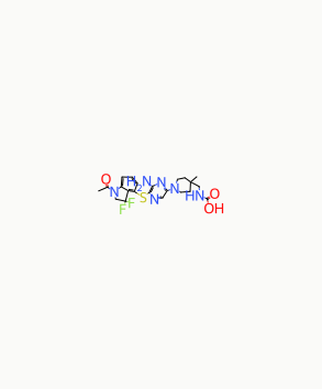 CC(=O)N1CC(F)(F)c2c(Sc3ncc(N4CCC(C)(CNC(=O)O)CC4)nc3N)cccc21